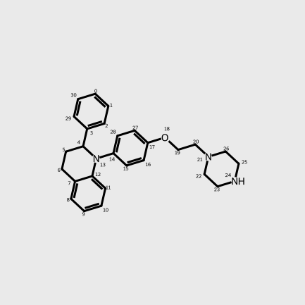 c1ccc(C2CCc3ccccc3N2c2ccc(OCCN3CCNCC3)cc2)cc1